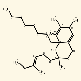 CCCCCCCCC12OC(C)(CC/C=C(\C)CC)CCC1=CC(O)C(C)=C2C